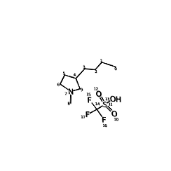 CCCCC1CCN(C)C1.O=S(=O)(O)C(F)(F)F